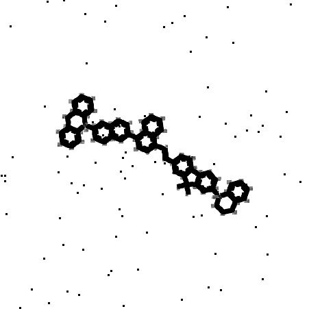 CC1(C)c2cc(/C=C/c3ccc(-c4ccc5cc(N6c7ccccc7Cc7ccccc76)ccc5c4)c4ccccc34)ccc2-c2ccc(N3CCCc4ccccc43)cc21